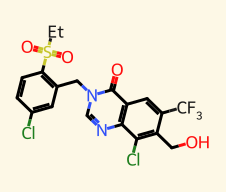 CCS(=O)(=O)c1ccc(Cl)cc1Cn1cnc2c(Cl)c(CO)c(C(F)(F)F)cc2c1=O